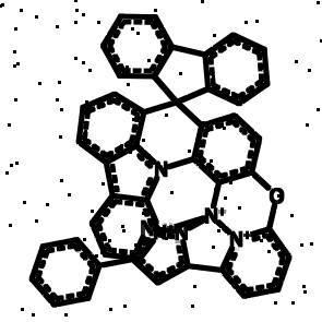 c1ccc(-c2cc3n(n2)[N+]24c5c(ccc6c5-n5c7c(cccc7c7ccc[n+]2c75)C62c5ccccc5-c5ccccc52)Oc2cccc-3[n+]24)cc1